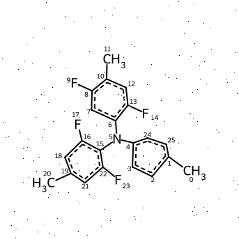 Cc1ccc(N(c2cc(F)c(C)cc2F)c2c(F)cc(C)cc2F)cc1